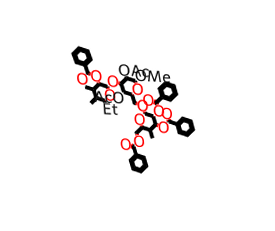 CCC1OC(OC2C(OC(C)=O)C(COC3OC(COC(=O)c4ccccc4)C(C)C(OC(=O)c4ccccc4)C3OC(=O)c3ccccc3)OC(OC)C2OC(C)=O)C(OC(=O)c2ccccc2)C(C)C1C